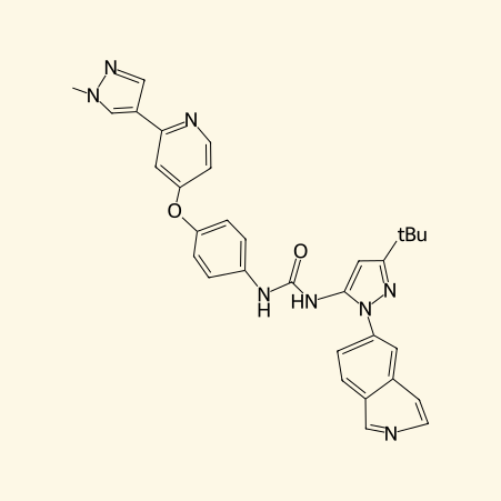 Cn1cc(-c2cc(Oc3ccc(NC(=O)Nc4cc(C(C)(C)C)nn4-c4ccc5cnccc5c4)cc3)ccn2)cn1